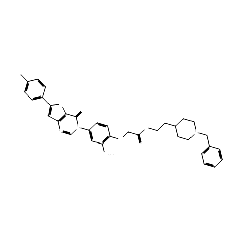 COc1cc(-n2cnc3cc(-c4ccc(Cl)cc4)sc3c2=O)ccc1OCC(=O)NCCC1CCN(Cc2ccccc2)CC1